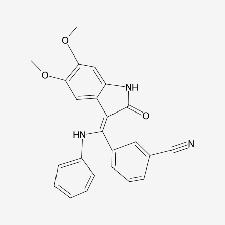 COc1cc2c(cc1OC)C(=C(Nc1ccccc1)c1cccc(C#N)c1)C(=O)N2